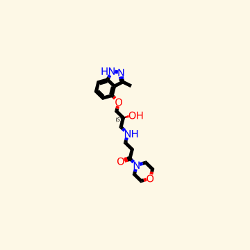 Cc1n[nH]c2cccc(OC[C@@H](O)CNCCC(=O)N3CCOCC3)c12